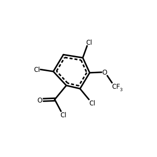 O=C(Cl)c1c(Cl)cc(Cl)c(OC(F)(F)F)c1Cl